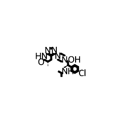 CC(C)NC[C@H](c1ccc(Cl)cc1)C(O)N1CCN(c2ncnc3c2C[C@H](C)C(=O)N3)CC1